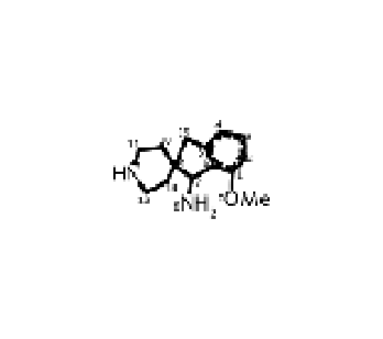 COc1cccc2c1C(N)C1(CCNCC1)C2